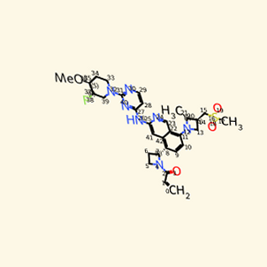 C=CC(=O)N1CC[C@@H]1c1ccc(N2C[C@H](CS(C)(=O)=O)[C@H]2C)c2cnc(Nc3ccnc(N4CC[C@H](OC)[C@H](F)C4)n3)cc12